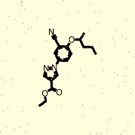 CCCC(C)Oc1ccc(-n2cc(C(=O)OCC)cn2)cc1C#N